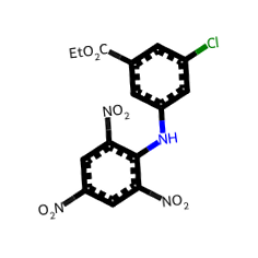 CCOC(=O)c1cc(Cl)cc(Nc2c([N+](=O)[O-])cc([N+](=O)[O-])cc2[N+](=O)[O-])c1